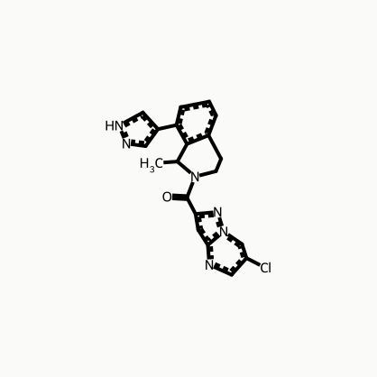 CC1c2c(cccc2-c2cn[nH]c2)CCN1C(=O)c1cc2ncc(Cl)cn2n1